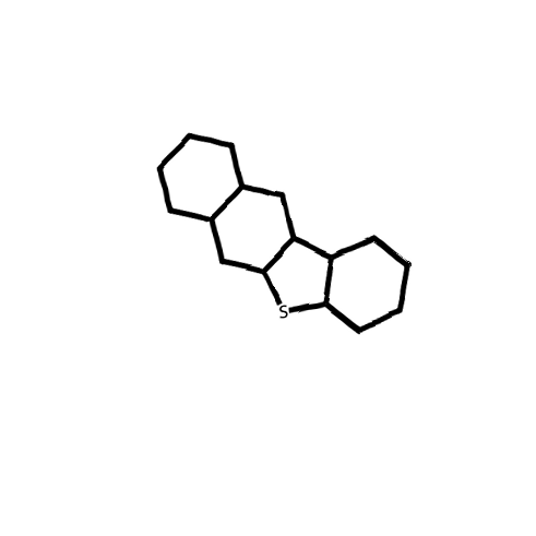 C1CCC2CC3C(CC2C1)SC1CCCCC13